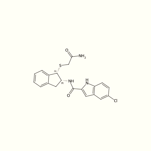 NC(=O)CS[C@H]1c2ccccc2C[C@H]1NC(=O)c1cc2cc(Cl)ccc2[nH]1